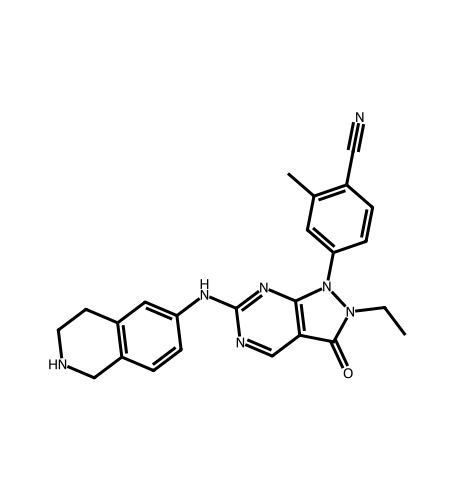 CCn1c(=O)c2cnc(Nc3ccc4c(c3)CCNC4)nc2n1-c1ccc(C#N)c(C)c1